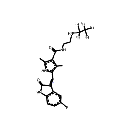 [2H]C([2H])([2H])C([2H])([2H])NCCNC(=O)c1c(C)[nH]c(/C=C2\C(=O)Nc3ccc(F)cc32)c1C